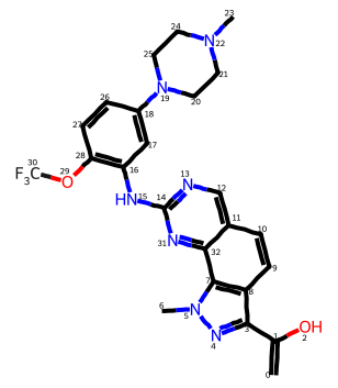 C=C(O)c1nn(C)c2c1ccc1cnc(Nc3cc(N4CCN(C)CC4)ccc3OC(F)(F)F)nc12